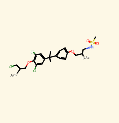 CC(=O)OC(CNS(C)(=O)=O)COc1ccc(C(C)(C)c2cc(Cl)c(OCC(CCl)OC(C)=O)c(Cl)c2)cc1